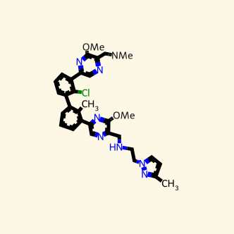 CNCc1ncc(-c2cccc(-c3cccc(-c4cnc(CNCCn5ccc(C)n5)c(OC)n4)c3C)c2Cl)nc1OC